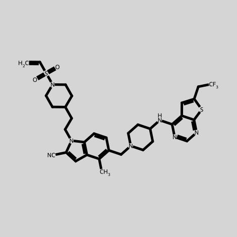 C=CS(=O)(=O)N1CCC(CCn2c(C#N)cc3c(C)c(CN4CCC(Nc5ncnc6sc(CC(F)(F)F)cc56)CC4)ccc32)CC1